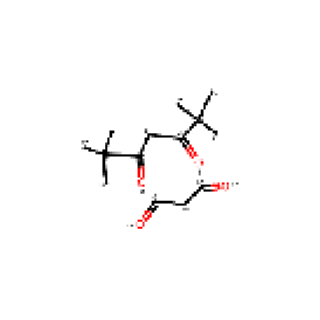 CC(C)(C)C(=O)CC(=O)C(C)(C)C.O=CCC=O